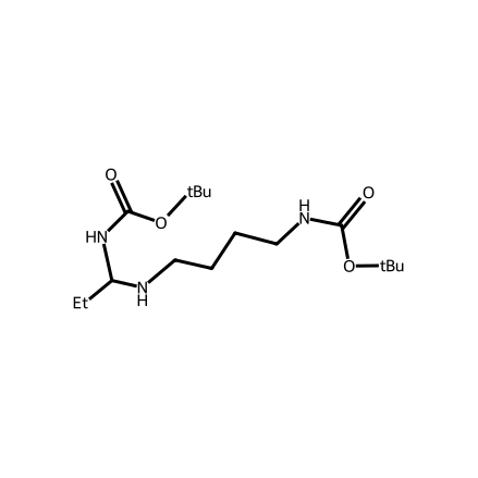 CCC(NCCCCNC(=O)OC(C)(C)C)NC(=O)OC(C)(C)C